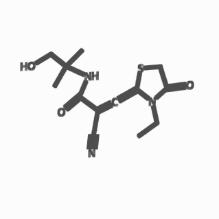 CCN1C(=O)CSC1=C=C(C#N)C(=O)NC(C)(C)CO